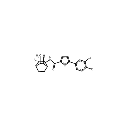 C[C@H]1[C@H](NC(=O)c2ccc(-c3ccc(Cl)c(Cl)c3)o2)C2CCN1CC2